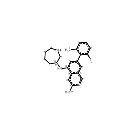 Cc1cccc(F)c1-c1cc(N[C@H]2CCCCNC2)c2cc(N)ncc2c1